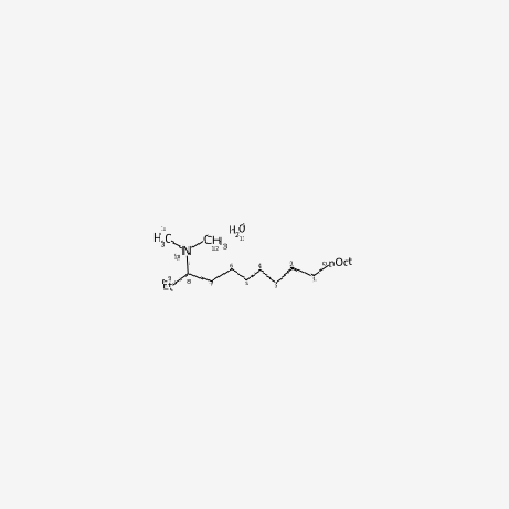 CCCCCCCCCCCCCCCC(CC)N(C)C.O